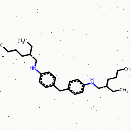 CCCCC(CC)CNc1ccc(Cc2ccc(NCC(CC)CCCC)cc2)cc1